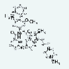 COc1cc(NC(=O)c2cccc(Oc3ccc4c(c3)c(C)c(C)n4CCCN3CCN(C)CC3)c2)cc(OC)c1-c1ccccc1